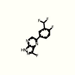 Fc1ccc(-c2cnc3[nH]nc(F)c3n2)cc1C(F)F